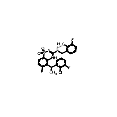 Cc1c(F)cccc1CNC1=NS(=O)(=O)c2ccc(F)c(C(C)c3cccc(F)c3Cl)c2N1